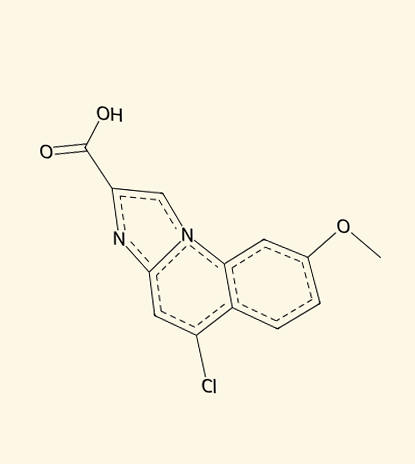 COc1ccc2c(Cl)cc3nc(C(=O)O)cn3c2c1